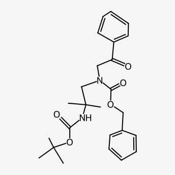 CC(C)(CN(CC(=O)c1ccccc1)C(=O)OCc1ccccc1)NC(=O)OC(C)(C)C